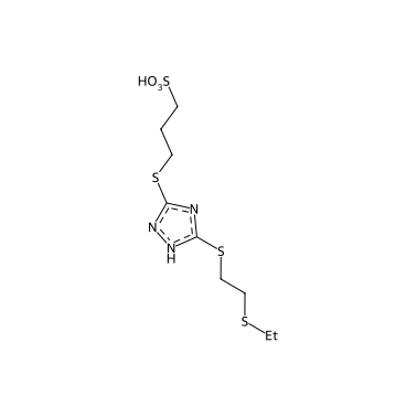 CCSCCSc1nc(SCCCS(=O)(=O)O)n[nH]1